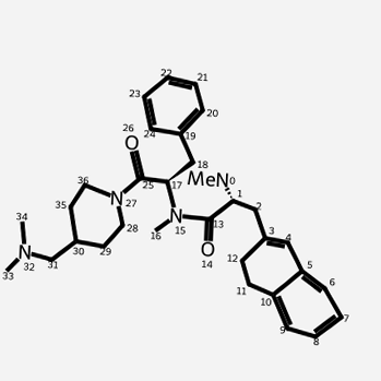 CN[C@H](CC1=Cc2ccccc2CC1)C(=O)N(C)[C@H](Cc1ccccc1)C(=O)N1CCC(CN(C)C)CC1